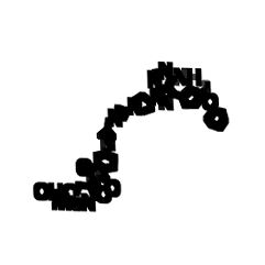 CNC(=O)C(CCC=O)N1C(=O)c2ccc(N3CC(CN4CC(N5CCC(n6nc(-c7ccc(Oc8ccccc8)cc7)c7c(N)ncnc76)CC5)C4)C3)cc2C1=O